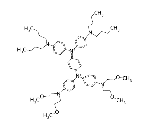 CCCCN(CCCC)c1ccc([N+](=C2C=CC(=[N+](c3ccc(N(CCOC)CCOC)cc3)c3ccc(N(CCOC)CCOC)cc3)C=C2)c2ccc(N(CCCC)CCCC)cc2)cc1